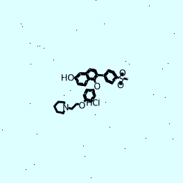 CS(=O)(=O)c1ccc(-c2ccc3cc(O)ccc3c2Oc2ccc(OCCN3CCCCC3)cc2)cc1.Cl